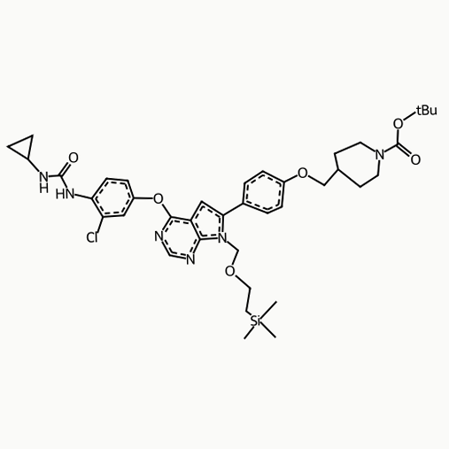 CC(C)(C)OC(=O)N1CCC(COc2ccc(-c3cc4c(Oc5ccc(NC(=O)NC6CC6)c(Cl)c5)ncnc4n3COCC[Si](C)(C)C)cc2)CC1